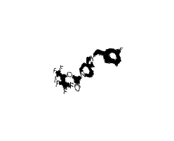 O=C(OC(C(F)(F)F)C(F)(F)F)N1CCC2(CC1)CN(Cc1cccc(F)c1)C2